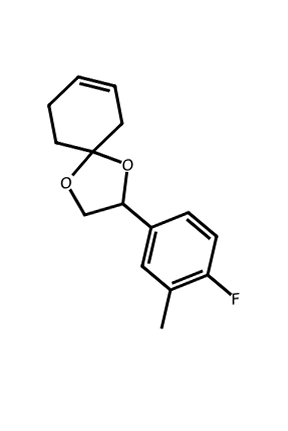 Cc1cc(C2COC3(CC=CCC3)O2)ccc1F